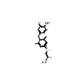 Cc1cc(OCPO)cc(C)c1Cc1ccc(O)c(I)c1